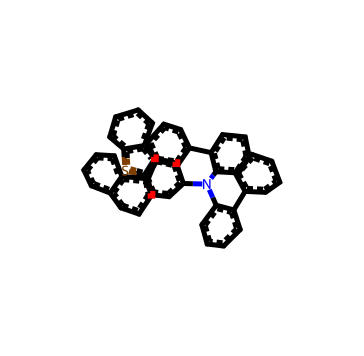 c1ccc(-c2ccccc2N(c2ccc3sc4ccccc4c3c2)c2ccccc2-c2cccc(-c3cccc4ccccc34)c2)cc1